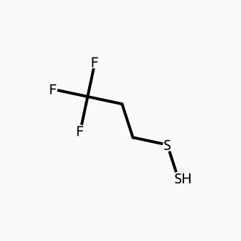 FC(F)(F)CCSS